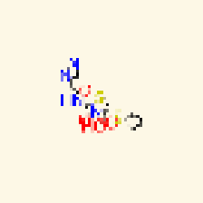 O=C(Cc1ccncn1)N[C@@H]1C(=O)N2C(C(=O)O)=C(CSc3ccccc3)CSC12